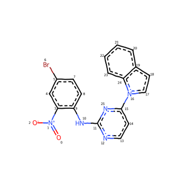 O=[N+]([O-])c1cc(Br)ccc1Nc1nccc(-n2ccc3ccccc32)n1